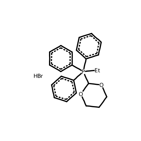 Br.CCP(c1ccccc1)(c1ccccc1)(c1ccccc1)C1OCCCO1